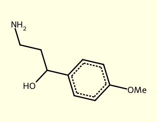 COc1ccc(C(O)CCN)cc1